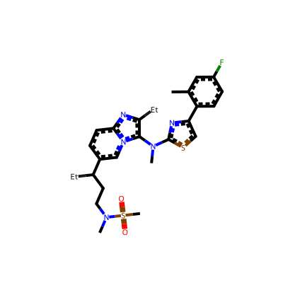 CCc1nc2ccc(C(CC)CCN(C)S(C)(=O)=O)cn2c1N(C)c1nc(-c2ccc(F)cc2C)cs1